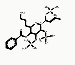 CC(=O)OCCCC1O[C@@H](C(/C=C/I)O[Si](C)(C)C(C)(C)C)C(O[Si](C)(C)C(C)(C)C)C(O[Si](C)(C)C(C)(C)C)C1OC(=O)c1ccccc1